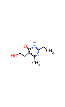 CCc1nc(C)c(CCO)c(=O)[nH]1